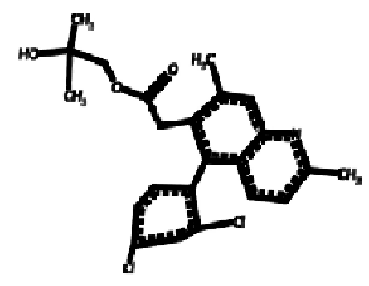 Cc1ccc2c(-c3ccc(Cl)cc3Cl)c(CC(=O)OCC(C)(C)O)c(C)cc2n1